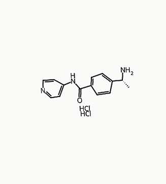 C[C@@H](N)c1ccc(C(=O)Nc2ccncc2)cc1.Cl.Cl